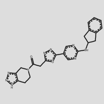 O=C(Cc1nnc(-c2cnc(BC3Cc4ccccc4C3)nc2)o1)N1CCc2[nH]nnc2C1